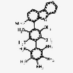 Bc1c(B)c(B)c(-c2c(B)c(B)c(-c3c(OC)ccc4c3oc3ccccc34)c(B)c2B)c(B)c1B